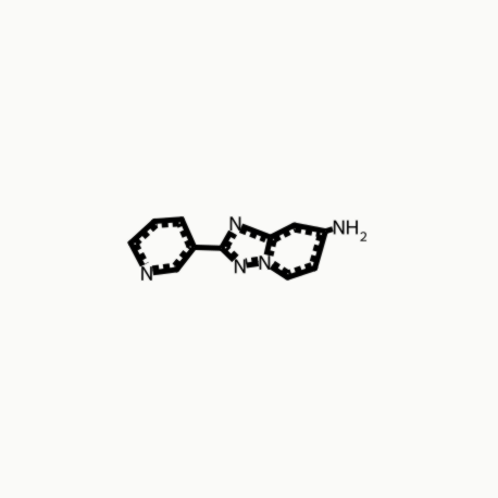 Nc1ccn2nc(-c3cccnc3)nc2c1